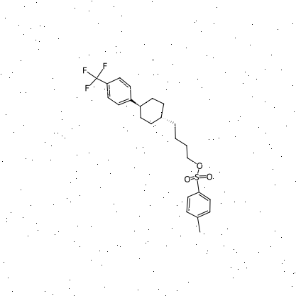 Cc1ccc(S(=O)(=O)OCCCC[C@H]2CC[C@H](c3ccc(C(F)(F)F)cc3)CC2)cc1